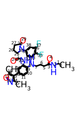 CCNC(=O)CCCNc1ccc(-c2c(C)noc2C)cc1NC(=O)[C@@H]1CCC(=O)N1c1ccc(F)c(F)c1